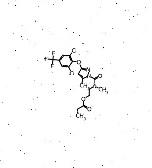 CCC(=O)OCCN(C)C(=O)n1nc(Oc2c(Cl)cc(C(F)(F)F)cc2Cl)cc1C